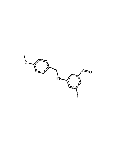 COc1ccc(CNc2cc(F)cc(C=O)c2)cc1